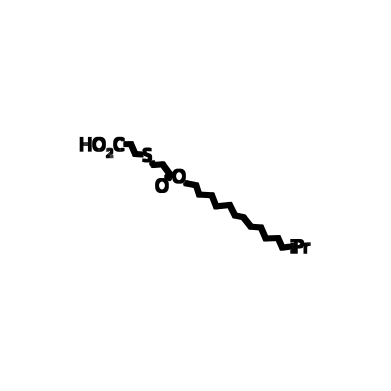 CC(C)CCCCCCCCCCCCCOC(=O)CCSCCC(=O)O